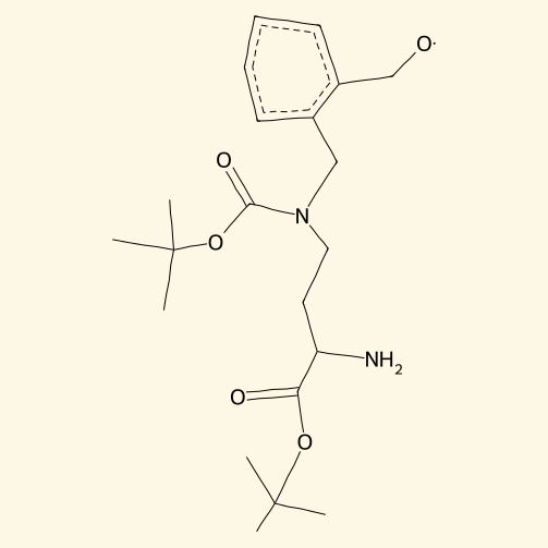 CC(C)(C)OC(=O)C(N)CCN(Cc1ccccc1C[O])C(=O)OC(C)(C)C